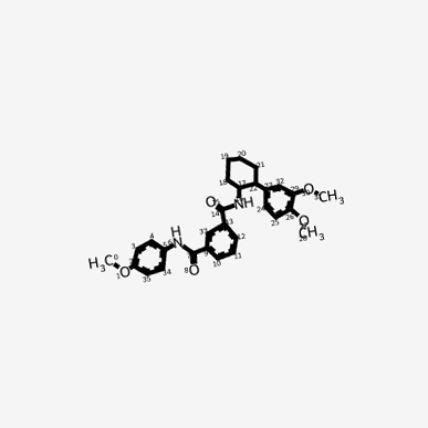 COc1ccc(NC(=O)c2cccc(C(=O)NC3CCCCC3c3ccc(OC)c(OC)c3)c2)cc1